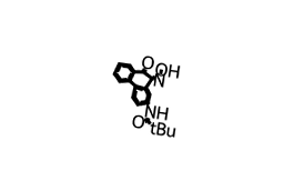 CC(C)(C)C(=O)Nc1ccc2c(c1)C(=NO)C(=O)c1ccccc1-2